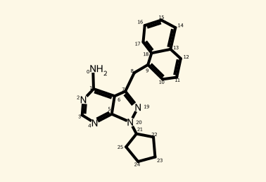 Nc1ncnc2c1c(Cc1cccc3ccccc13)nn2C1CCCC1